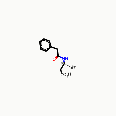 CCC[C@H](CC(=O)O)NC(=O)Cc1ccccc1